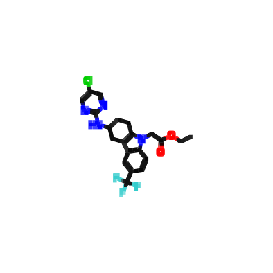 CCOC(=O)Cn1c2c(c3cc(C(F)(F)F)ccc31)CC(Nc1ncc(Cl)cn1)CC2